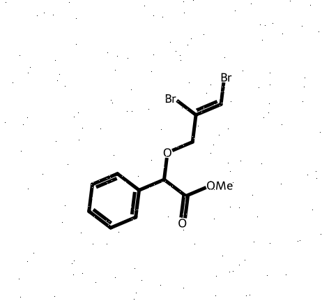 COC(=O)C(OCC(Br)=CBr)c1ccccc1